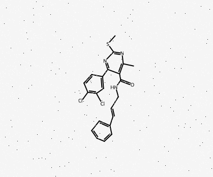 CSc1nc(C)c(C(=O)NC/C=C/c2ccccc2)c(-c2ccc(Cl)c(Cl)c2)n1